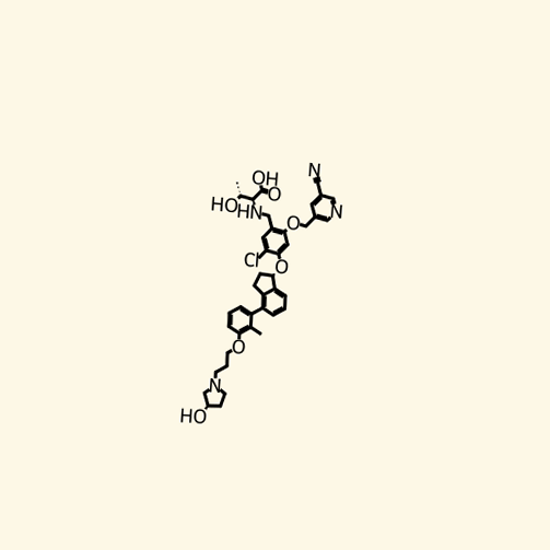 Cc1c(OCCCN2CC[C@@H](O)C2)cccc1-c1cccc2c1CC[C@@H]2Oc1cc(OCc2cncc(C#N)c2)c(CN[C@H](C(=O)O)[C@@H](C)O)cc1Cl